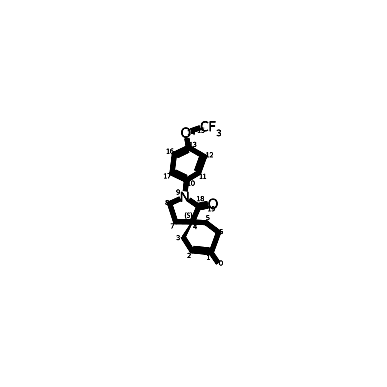 CC1=CC[C@@]2(CC1)CCN(c1ccc(OC(F)(F)F)cc1)C2=O